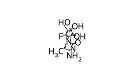 Cc1cn([C@@H]2C(F)=C(CO)[C@@H](O)[C@H]2O)c(=O)nc1N